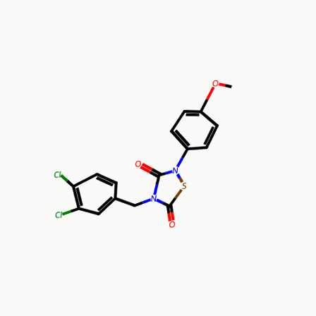 COc1ccc(-n2sc(=O)n(Cc3ccc(Cl)c(Cl)c3)c2=O)cc1